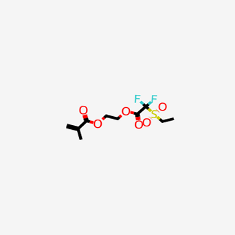 C=C(C)C(=O)OCCOC(=O)C(F)(F)S(=O)(=O)CC